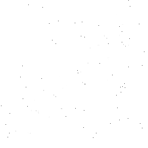 CC(C)c1ncc2c3c(oc2n1)CN(CC(=O)N1CCN(C2CCC2)CC1)CC3